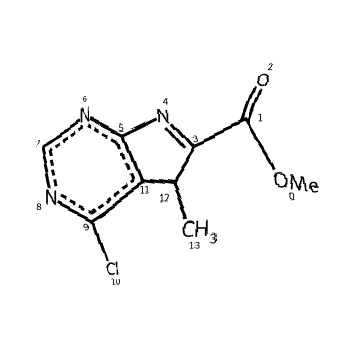 COC(=O)C1=Nc2ncnc(Cl)c2C1C